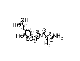 NC(=O)C[C@@H](N)C(=O)N1CC(Oc2ccc(CCB(O)O)c(O)c2C(=O)O)C1